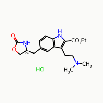 CCOC(=O)c1[nH]c2ccc(C[C@H]3COC(=O)N3)cc2c1CCN(C)C.Cl